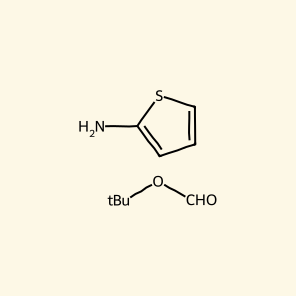 CC(C)(C)OC=O.Nc1cccs1